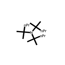 CCCC(C)(C)N(C(C)(C)CCC)C(C)(C)CCC